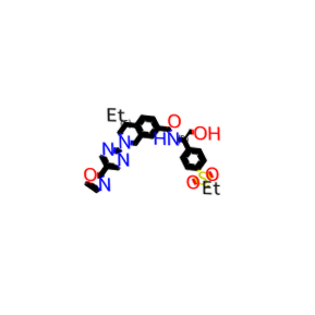 CC[C@@H]1CN(c2ncc(-c3ncco3)cn2)Cc2cc(C(=O)N[C@@H](CO)c3ccc(S(=O)(=O)CC)cc3)ccc21